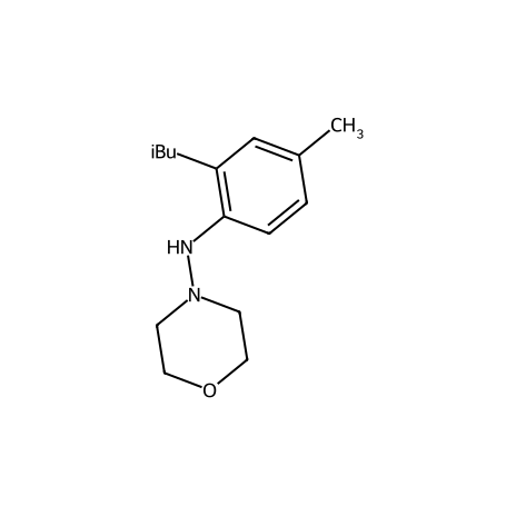 CCC(C)c1cc(C)ccc1NN1CCOCC1